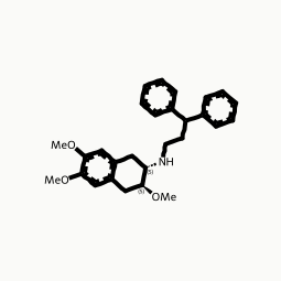 COc1cc2c(cc1OC)C[C@H](OC)[C@@H](NCCC(c1ccccc1)c1ccccc1)C2